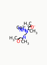 C/C([O-])=C/C(C)=N\CC/N=C(C)/C=C(/C)[O-].N.N.[Co+3]